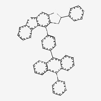 c1ccc(-c2c3ccccc3c(-c3ccc(-c4c5c(cc6oc7ccccc7c46)OC(c4ccccc4)C5)cc3)c3ccccc23)cc1